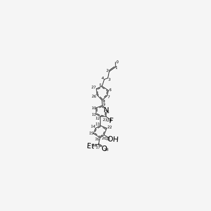 C/C=C/CCc1ccc(-c2ccc(-c3ccc(C(=O)CC)c(O)c3)c(F)n2)cc1